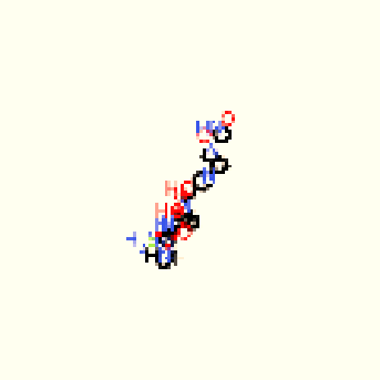 Nc1nnc(-c2ccccc2O)cc1N1C[C@H]2CC[C@@H](C1)N2c1cc(OC2CCN(C(=O)CC3(O)CCN(c4cccc5c4CCN5[C@@H]4CCC(=O)NC4=O)CC3)CC2)ccc1F